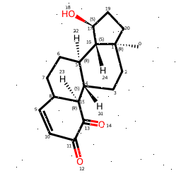 C[C@]12CC[C@H]3[C@@H](CCC4C=CC(=O)C(=O)[C@@H]43)[C@@H]1[C@@H](O)CC2